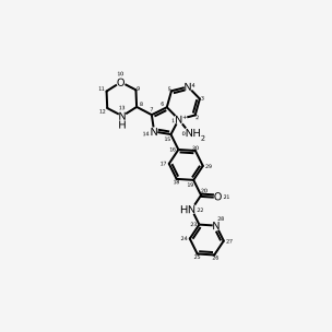 N[N+]12C=CN=CC1=C(C1COCCN1)N=C2c1ccc(C(=O)Nc2ccccn2)cc1